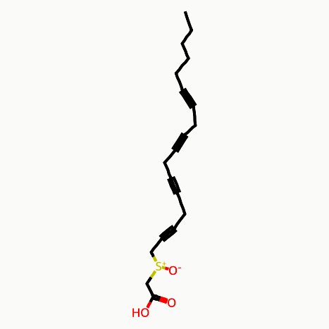 CCCCCC#CCC#CCC#CCC#CC[S+]([O-])CC(=O)O